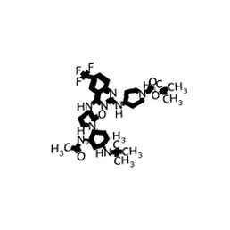 CC(=O)N[C@@H]1C[C@H](NC(C)(C)C)CC[C@@H]1N1CCC(Nc2nc(NC3CCN(C(=O)OC(C)(C)C)CC3)nc3ccc(C(F)(F)F)cc23)C1=O